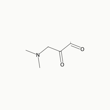 CN(C)CC(=O)[C]=O